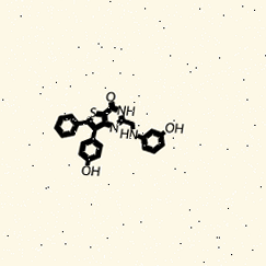 O=c1[nH]c(CNc2cccc(O)c2)nc2c(-c3ccc(O)cc3)c(-c3ccccc3)sc12